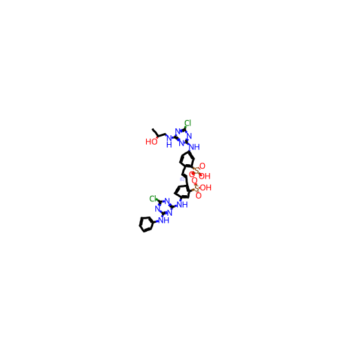 CC(O)CNc1nc(Cl)nc(Nc2ccc(/C=C/c3ccc(Nc4nc(Cl)nc(Nc5ccccc5)n4)cc3S(=O)(=O)O)c(S(=O)(=O)O)c2)n1